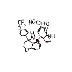 O=C(NC1(c2ccc(OC(F)(F)F)cc2)CCOc2cccnc21)c1ccnc2[nH]ccc12.O=CO